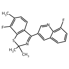 Cc1ccc2c(c1F)SC(C)(C)N=C2c1cnc2c(F)cccc2c1